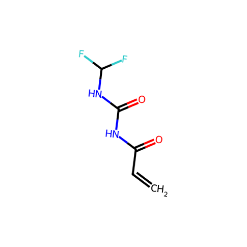 C=CC(=O)NC(=O)NC(F)F